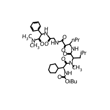 CCCC(NC(=O)C(CC(C)C)N(C)C(=O)[C@@H](NC(=O)OCC(C)C)C1CCCCC1)C(=O)C(=O)NCC(=O)NC(C(=O)N(C)C)c1ccccc1